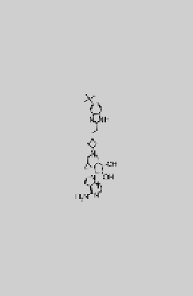 CC(C)(C)c1ccc2[nH]c(CC[C@H]3C[C@@H](N(CC4CC4)C[C@H]4C[C@@H](n5ccc6c(N)ncnc65)[C@H](O)[C@@H]4O)C3)nc2c1